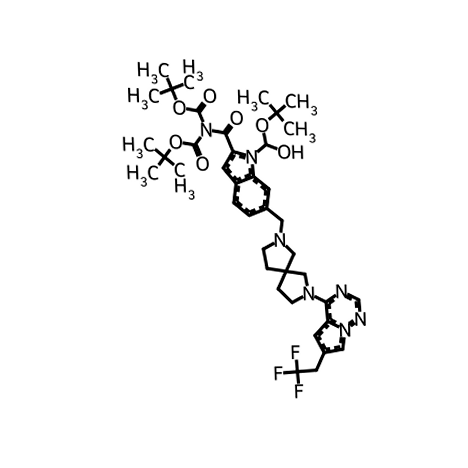 CC(C)(C)OC(=O)N(C(=O)OC(C)(C)C)C(=O)c1cc2ccc(CN3CCC4(CCN(c5ncnn6cc(CC(F)(F)F)cc56)C4)C3)cc2n1C(O)OC(C)(C)C